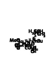 CCCCN(CCC[N+](C)(C)C)C(=O)CN1C[C@H](c2cc(OC)c3c(c2)OCO3)[C@@H](C(=O)O)[C@@H]1CCC1OCCO1